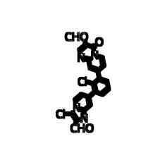 O=Cc1nc2cc(-c3cccc(-c4ccn5c(=O)c(C=O)cnc5c4)c3Cl)ccn2c1Cl